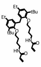 C=CC(=O)NCCCCOc1c(Cc2cc(CC)cc(C(C)(C)C)c2OCCCCNC(=O)C=C)cc(CC)cc1C(C)(C)C